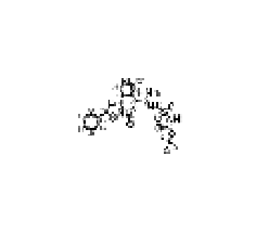 CN/C(=N\OS(=O)(=O)NC(=O)OC(C)(C)C)[C@@H]1c2c(cnn2C)[C@H]2CN1C(=O)N2OCc1ccccc1